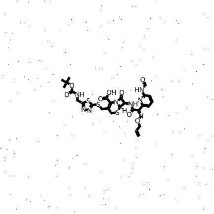 C=CCO/N=C(\C(=O)NC1C(=O)N2C(C(=O)O)=C(CSc3nnc(CNC(=O)OC(C)(C)C)s3)CS[C@H]12)c1cccc(NC=O)n1